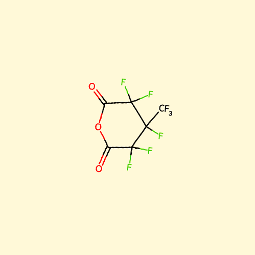 O=C1OC(=O)C(F)(F)C(F)(C(F)(F)F)C1(F)F